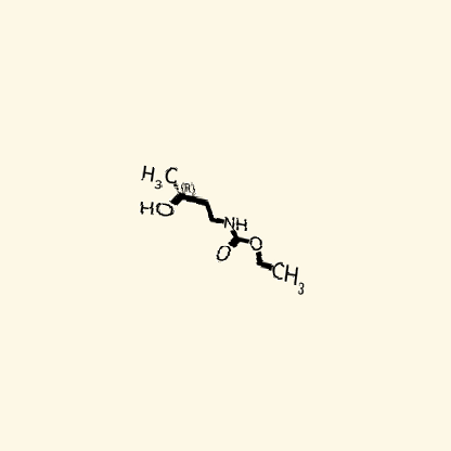 CCOC(=O)NCC[C@@H](C)O